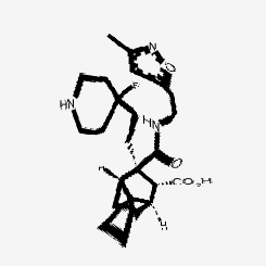 Cc1cc(CNC(=O)[C@@]2(CCC3(F)CCNCC3)[C@H](C(=O)O)[C@H]3CC[C@H]2C32CC2)on1